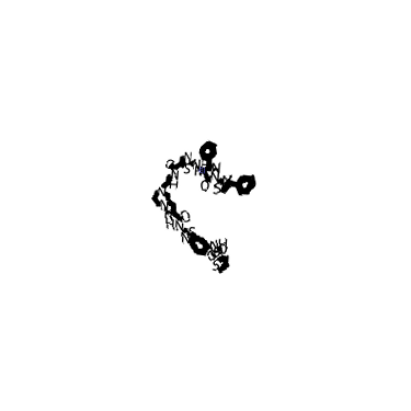 O=C(Nc1nc2ccc(NS(=O)(=O)c3cccs3)cc2s1)c1cc2n(n1)CCCN(CCCNC(=O)c1cnc(N/N=C3/C(=O)N(c4nc(-c5ccccc5)cs4)N=C3c3ccccc3)s1)C2